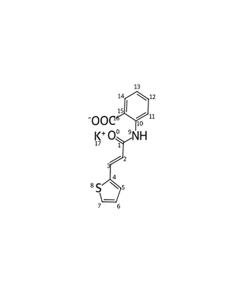 O=C(C=Cc1cccs1)Nc1ccccc1C(=O)[O-].[K+]